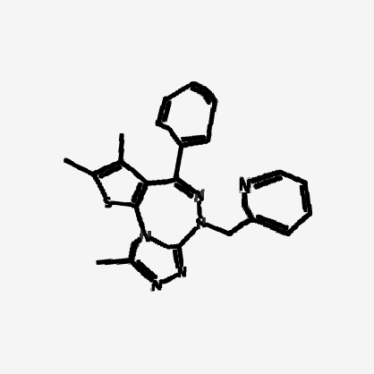 Cc1sc2c(c1C)C(c1ccccc1)=NN(Cc1ccccn1)c1nnc(C)n1-2